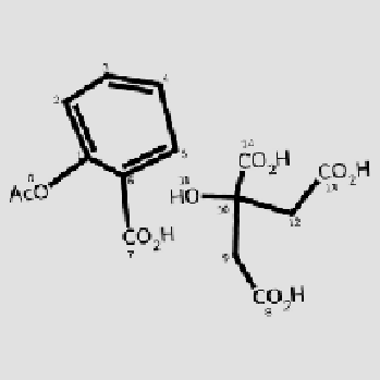 CC(=O)Oc1ccccc1C(=O)O.O=C(O)CC(O)(CC(=O)O)C(=O)O